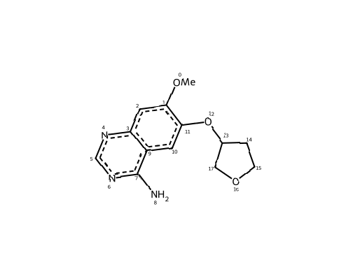 COc1cc2ncnc(N)c2cc1OC1CCOC1